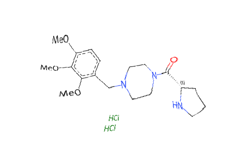 COc1ccc(CN2CCN(C(=O)[C@@H]3CCCN3)CC2)c(OC)c1OC.Cl.Cl